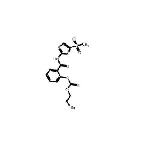 CC(C)(C)CCOC(=O)Oc1ccccc1C(=O)Nc1ncc(S(C)(=O)=O)s1